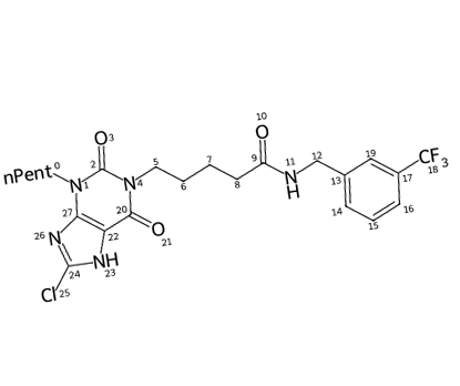 CCCCCn1c(=O)n(CCCCC(=O)NCc2cccc(C(F)(F)F)c2)c(=O)c2[nH]c(Cl)nc21